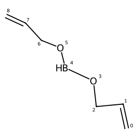 C=CCOBOCC=C